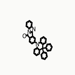 O=C1c2ccc(N3c4ccccc4C(c4ccccc4)(c4ccccc4)c4ccccc43)cc2-c2nc3ccccc3n21